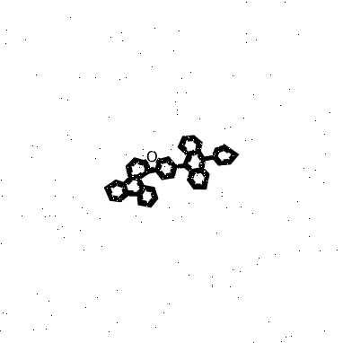 c1ccc(-c2c3ccccc3c(-c3ccc4c(c3)oc3ccc5c6ccccc6c6ccccc6c5c34)c3ccccc23)cc1